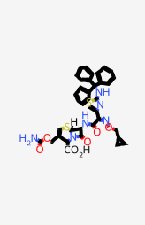 NC(=O)OCC1=CS[C@@H]2[C@H](NC(=O)/C(=N\OCC3CC3)c3csc(NC(c4ccccc4)(c4ccccc4)c4ccccc4)n3)C(=O)N2C1C(=O)O